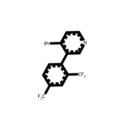 CC(C)c1ccncc1-c1ccc(C(F)(F)F)cc1C(F)(F)F